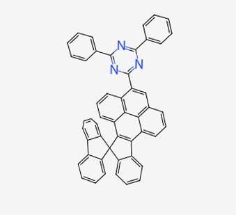 c1ccc(-c2nc(-c3ccccc3)nc(-c3cc4cccc5c6c(c7cccc3c7c45)C3(c4ccccc4-c4ccccc43)c3ccccc3-6)n2)cc1